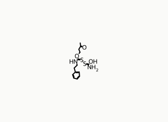 CC(=O)CCOC(=S)NCCc1ccccc1.NC(O)=S